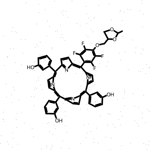 CC1OCC(COc2c(F)c(F)c(-c3c4nc(c(-c5cccc(O)c5)c5ccc([nH]5)c(-c5cccc(O)c5)c5nc(c(-c6cccc(O)c6)c6ccc3[nH]6)C=C5)C=C4)c(F)c2F)O1